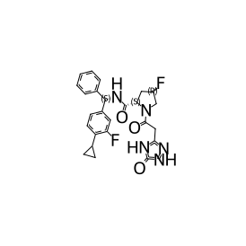 O=C(N[C@@H](c1ccccc1)c1ccc(C2CC2)c(F)c1)[C@@H]1C[C@@H](F)CN1C(=O)Cc1n[nH]c(=O)[nH]1